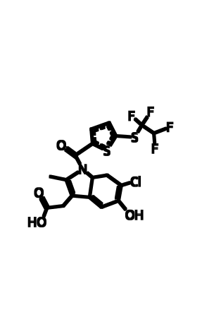 CC1=C(CC(=O)O)C2=CC(O)=C(Cl)CC2N1C(=O)c1ccc(SC(F)(F)C(F)F)s1